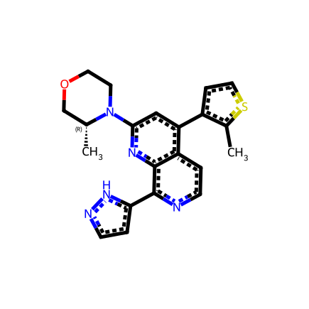 Cc1sccc1-c1cc(N2CCOC[C@H]2C)nc2c(-c3ccn[nH]3)nccc12